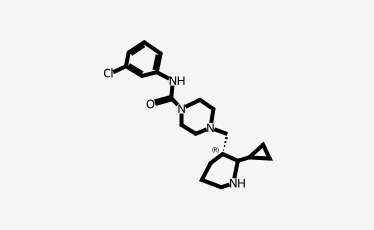 O=C(Nc1cccc(Cl)c1)N1CCN(C[C@H]2CCCNC2C2CC2)CC1